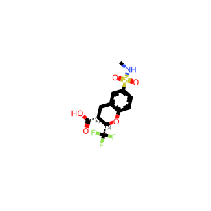 CNS(=O)(=O)c1ccc2c(c1)C[C@@H](C(=O)O)[C@@H](C(F)(F)F)O2